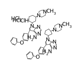 CN1CCN([C@@H]2CCC[C@H](n3cc(-c4ccc(Oc5ccccc5)cc4)c4c(N)ncnc43)C2)CC1.CN1CCN([C@@H]2CCC[C@H](n3cc(-c4ccc(Oc5ccccc5)cc4)c4c(N)ncnc43)C2)CC1.Cl.Cl.Cl